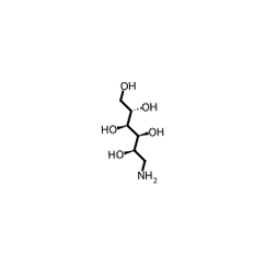 NC[C@@H](O)[C@H](O)[C@@H](O)[C@@H](O)CO